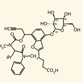 C#CCC(OC(=O)N(C)C(C(=O)N(C)c1ccccc1)C(C)C)c1ccc(O[C@@H]2O[C@H](CO)[C@H](O)[C@H](O)[C@H]2O)c2cc(CCCC(=O)O)oc12